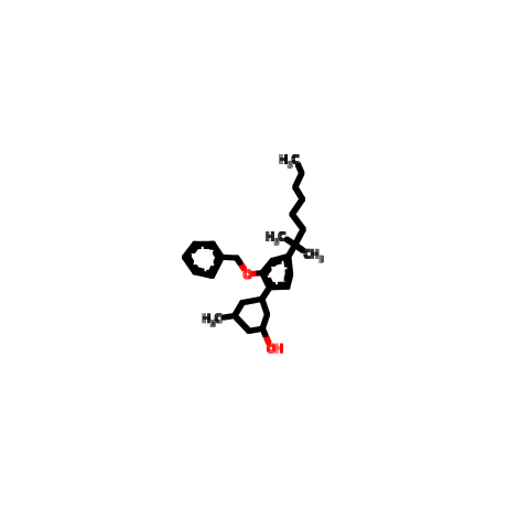 CCCCCCC(C)(C)c1ccc(C2CC(C)CC(O)C2)c(OCc2ccccc2)c1